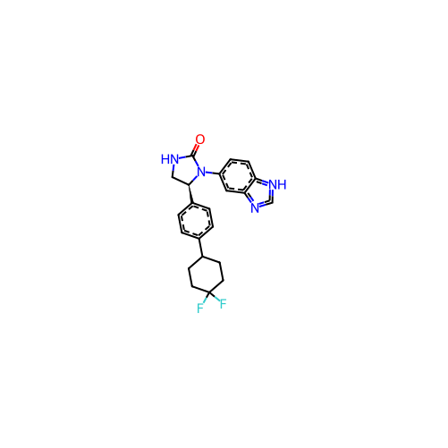 O=C1NC[C@H](c2ccc(C3CCC(F)(F)CC3)cc2)N1c1ccc2[nH]cnc2c1